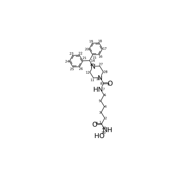 O=C(CCCCCNC(=O)N1CCN(C(c2ccccc2)c2ccccc2)CC1)NO